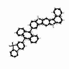 CC1(C)c2ccccc2-c2ccc(-c3c4ccccc4c(-c4ccc5sc6cc7c(cc6c5c4)sc4ccc5ccccc5c47)c4ccccc34)cc21